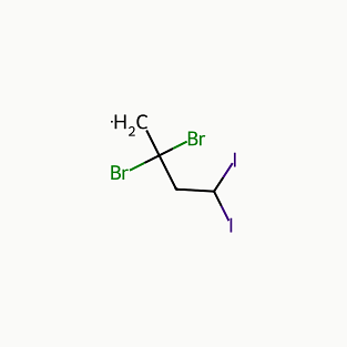 [CH2]C(Br)(Br)CC(I)I